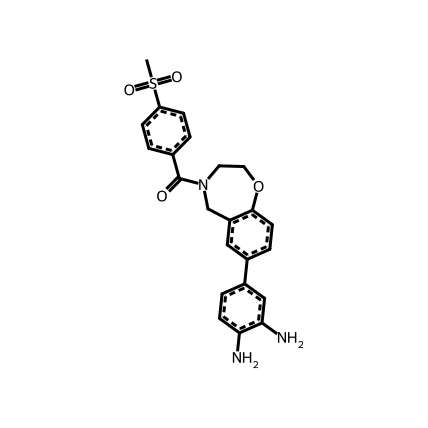 CS(=O)(=O)c1ccc(C(=O)N2CCOc3ccc(-c4ccc(N)c(N)c4)cc3C2)cc1